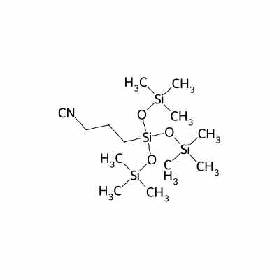 [C-]#[N+]CCC[Si](O[Si](C)(C)C)(O[Si](C)(C)C)O[Si](C)(C)C